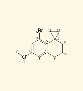 COc1cc(Br)c2c(c1)CCCC21CC1